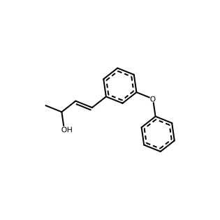 CC(O)/C=C/c1cccc(Oc2ccccc2)c1